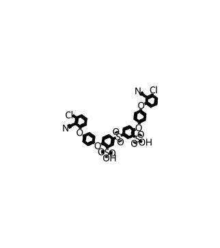 N#Cc1c(Cl)cccc1Oc1ccc(Oc2ccc(S(=O)(=O)c3ccc(Oc4ccc(Oc5cccc(Cl)c5C#N)cc4)c(S(=O)(=O)O)c3)cc2S(=O)(=O)O)cc1